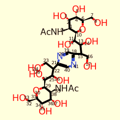 CC(=O)N[C@H]1[C@@H](O)[C@H](O)[C@@H](CO)O[C@H]1C(O)C(O)C(CO)c1cnc(C(CO)C(O)C(O)[C@@H]2O[C@H](CO)[C@@H](O)[C@H](O)[C@@H]2NC(C)=O)cn1